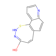 Oc1ccc2ccc3ncccc3c2s[nH]n1